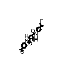 C=C(CF)c1ccc(NC(=O)C2=CC=C(C(=O)Nc3ccc(C(C)=O)cc3)NC2)cc1